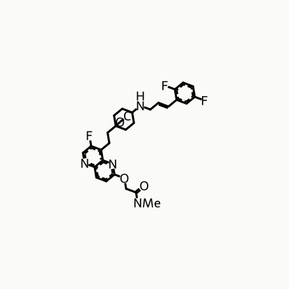 CNC(=O)COc1ccc2ncc(F)c(CCC34CCC(NC/C=C/c5cc(F)ccc5F)(CC3)CO4)c2n1